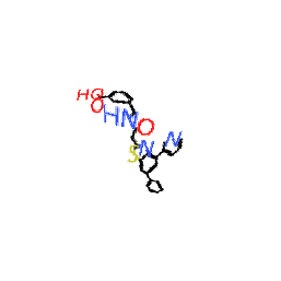 O=C(Cc1nc2c(-c3cccnc3)cc(-c3ccccc3)cc2s1)NCc1cccc(C(=O)O)c1